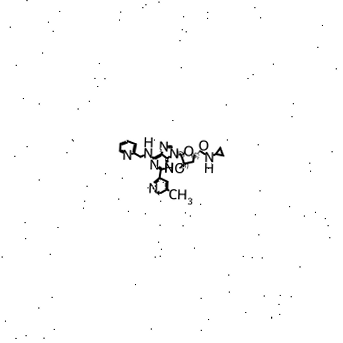 Cc1cncc(-c2nc(NCc3ccccn3)c3ncn([C@@H]4O[C@H](C(=O)NC5CC5)C[C@H]4O)c3n2)c1